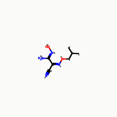 CC(C)CON=C(C#N)C(N)=NO